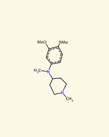 CNc1ccc(N(C)C2CCN(C)CC2)cc1OC